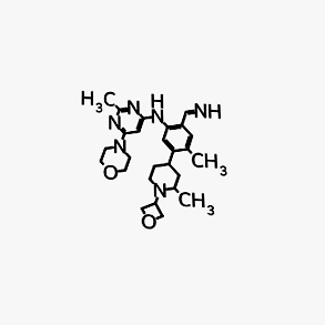 Cc1nc(Nc2cc(C3CCN(C4COC4)C(C)C3)c(C)cc2C=N)cc(N2CCOCC2)n1